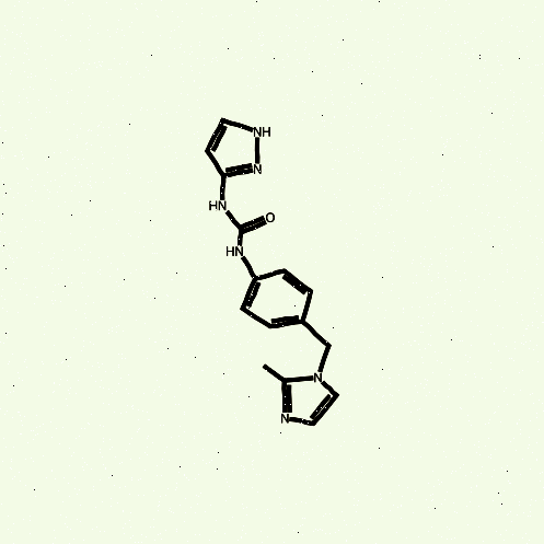 Cc1nccn1Cc1ccc(NC(=O)Nc2cc[nH]n2)cc1